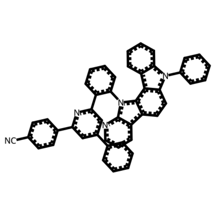 N#Cc1ccc(-c2cc(-c3ccccc3)cc(-c3ccccc3-n3c4ncccc4c4ccc5c(c6ccccc6n5-c5ccccc5)c43)n2)cc1